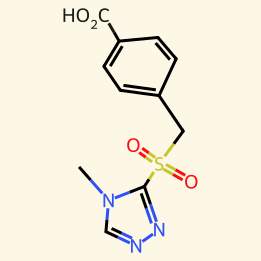 Cn1cnnc1S(=O)(=O)Cc1ccc(C(=O)O)cc1